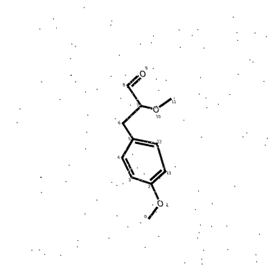 COc1ccc(CC(C=O)OC)cc1